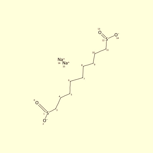 O=S([O-])CCCCCCCCCS(=O)[O-].[Na+].[Na+]